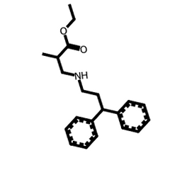 CCOC(=O)C(C)CNCCC(c1ccccc1)c1ccccc1